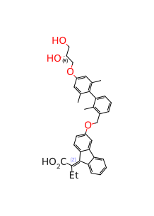 CC/C(C(=O)O)=C1\c2ccccc2-c2cc(OCc3cccc(-c4c(C)cc(OC[C@H](O)CO)cc4C)c3C)ccc21